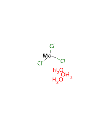 O.O.O.[Cl][Mo]([Cl])[Cl]